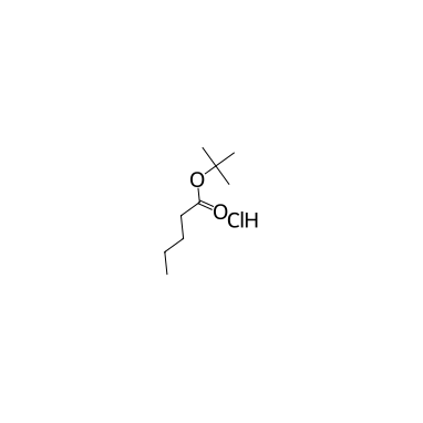 CCCCC(=O)OC(C)(C)C.Cl